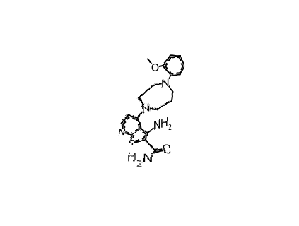 COc1ccccc1N1CCCN(c2ccnc3sc(C(N)=O)c(N)c23)CC1